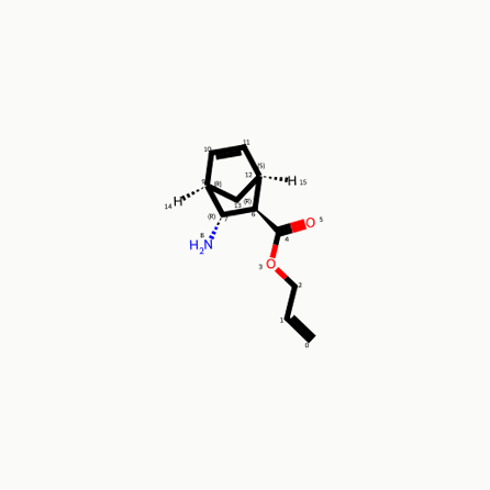 C=CCOC(=O)[C@H]1[C@H](N)[C@H]2C=C[C@@H]1C2